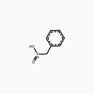 O=[PH](O)Cc1ccccc1